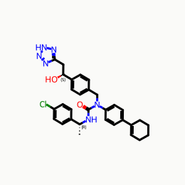 C[C@@H](NC(=O)N(Cc1ccc([C@@H](O)Cc2nn[nH]n2)cc1)c1ccc(C2=CCCCC2)cc1)c1ccc(Cl)cc1